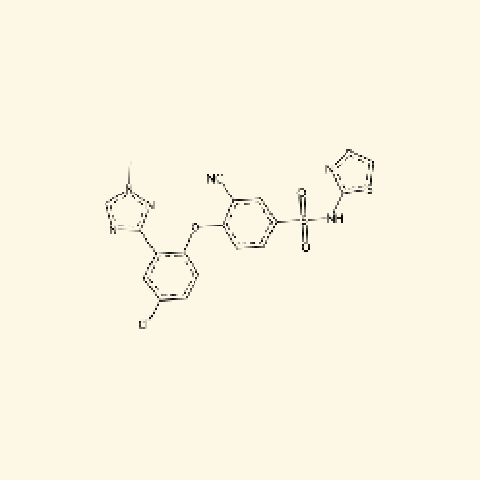 Cn1cnc(-c2cc(Cl)ccc2Oc2ccc(S(=O)(=O)Nc3nccs3)cc2C#N)n1